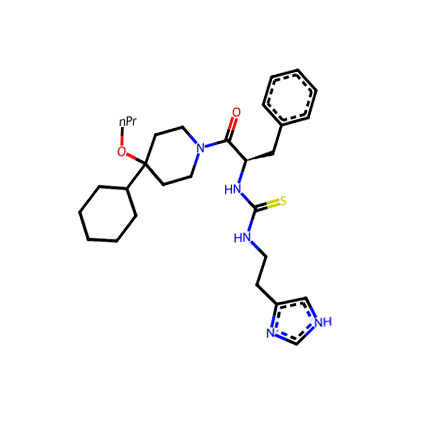 CCCOC1(C2CCCCC2)CCN(C(=O)[C@@H](Cc2ccccc2)NC(=S)NCCc2c[nH]cn2)CC1